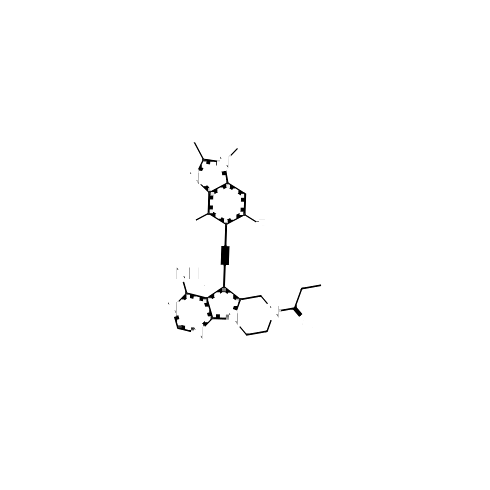 CCC(=O)N1Cc2c(C#Cc3c(F)cc4c(nc(C)n4C)c3F)c3c(N)ncnc3n2C[C@H]1C